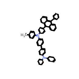 Cc1ccc(N(c2ccc(-c3ccc(N(c4ccccc4)c4ccccc4)cc3)cc2)c2ccc(-c3c4ccccc4c(-c4ccccc4)c4ccccc34)cc2)cc1